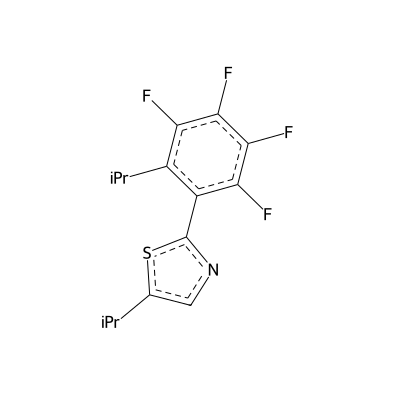 CC(C)c1cnc(-c2c(F)c(F)c(F)c(F)c2C(C)C)s1